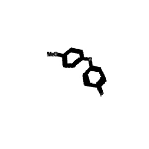 COc1ccc(Oc2ccc(F)cc2)cc1